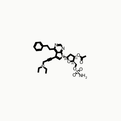 CCN(CC)CC#Cc1cn([C@H]2C[C@H](OC(C)=O)[C@@H](COS(N)(=O)=O)O2)c2ncnc(CCc3ccccc3)c12